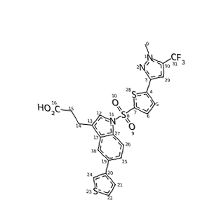 Cn1nc(-c2ccc(S(=O)(=O)n3cc(CCC(=O)O)c4cc(-c5ccsc5)ccc43)s2)cc1C(F)(F)F